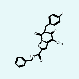 CC1=C2C=C(C(=O)NCc3ccccc3)SN2C(=O)C(Cc2ccc(F)cc2)C1=O